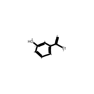 C=C(CC)c1cccc(O)c1